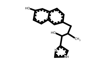 CC(Cc1ccc2cc(O)ccc2c1)C(O)c1c[nH]cn1